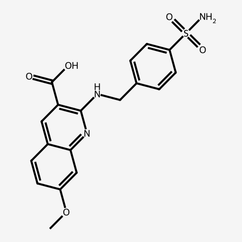 COc1ccc2cc(C(=O)O)c(NCc3ccc(S(N)(=O)=O)cc3)nc2c1